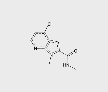 CNC(=O)c1cc2c(Cl)ccnc2n1C